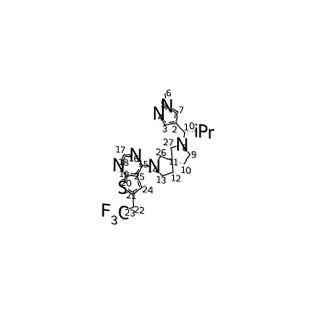 CC(C)[C@@H](c1cnn(C)c1)N1CC[C@@]2(CCN(c3ncnc4sc(CC(F)(F)F)cc34)C2)C1